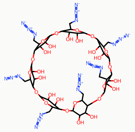 [N-]=[N+]=NCC1OC2OC3C(CN=[N+]=[N-])OC(OC4C(CN=[N+]=[N-])OC(OC5C(CN=[N+]=[N-])OC(OC6C(CN=[N+]=[N-])OC(OC7C(CN=[N+]=[N-])OC(OC8C(CN=[N+]=[N-])OC(OC1C(O)C2O)C(O)C8O)C(O)C7O)C(O)C6O)C(O)C5O)C(O)C4O)C(O)C3O